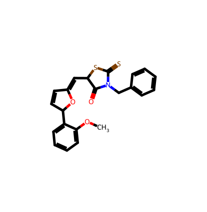 COc1ccccc1C1C=CC(=CC2SC(=S)N(Cc3ccccc3)C2=O)O1